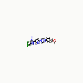 C/C=C(\C=C/CCC=O)N1CCN(c2ccc(-c3nc(C(F)(F)F)c[nH]3)cn2)CC1